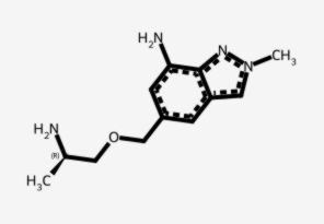 C[C@@H](N)COCc1cc(N)c2nn(C)cc2c1